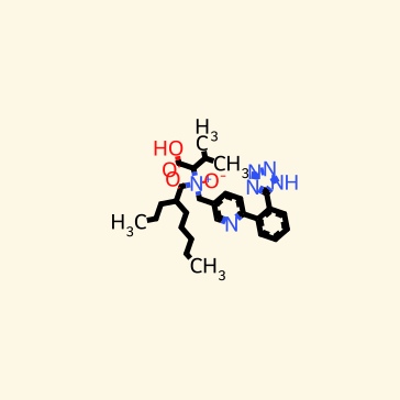 CCCCCC(CCC)C(=O)[N@+]([O-])(Cc1ccc(-c2ccccc2-c2nnn[nH]2)nc1)C(C(=O)O)C(C)C